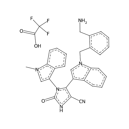 Cn1cc(-n2c(-c3cn(Cc4ccccc4CN)c4ccccc34)c(C#N)[nH]c2=O)c2ccccc21.O=C(O)C(F)(F)F